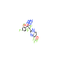 OC(Cn1cnnn1)(c1ccc(F)cc1F)C(F)(F)c1cnc2cc(OC(F)(F)F)ccc2n1